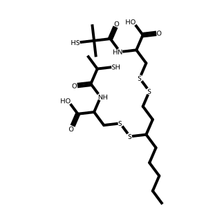 CCCCCC(CCSSCC(NC(=O)C(C)(C)S)C(=O)O)SSCC(NC(=O)C(C)S)C(=O)O